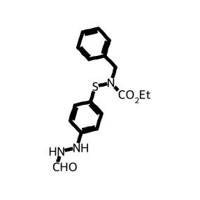 CCOC(=O)N(Cc1ccccc1)Sc1ccc(NNC=O)cc1